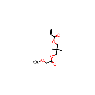 C=CC(=O)OCC(C)(C)COC(=O)COC(C)(C)C